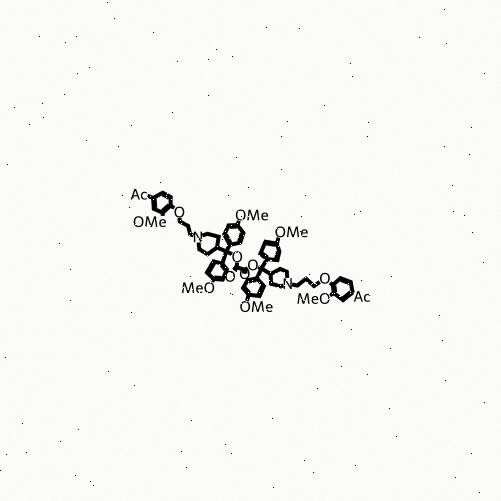 COc1ccc(C(OC(=O)C(=O)OC(c2ccc(OC)cc2)(c2ccc(OC)cc2)C2CCN(CCCOc3ccc(C(C)=O)cc3OC)CC2)(c2ccc(OC)cc2)C2CCN(CCCOc3ccc(C(C)=O)cc3OC)CC2)cc1